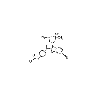 CC1CC(n2c(Nc3ccc(OC(C)C)cc3)nc3cc(C#N)ccc32)CC(C)(C)C1